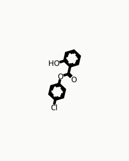 O=C(Oc1ccc(Cl)cc1)c1ccccc1O